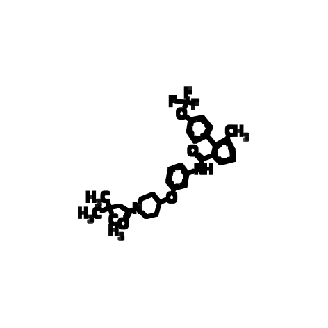 Cc1cccc(C(=O)Nc2cccc(OC3CCN(C(=O)CC(C)(C)C)CC3)c2)c1-c1ccc(OC(F)(F)F)cc1